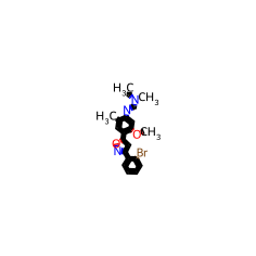 CCN(C)C=Nc1cc(OC)c(C2CC(c3ccccc3Br)=NO2)cc1C